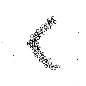 O=S(=O)([O-])[O-].O=S(=O)([O-])[O-].O=S(=O)([O-])[O-].O=S(=O)([O-])[O-].O=S(=O)([O-])[O-].O=S(=O)([O-])[O-].[Ce+4].[Ce+4].[NH4+].[NH4+].[NH4+].[NH4+].[NH4+].[NH4+].[O]=[Mo](=[O])([O-])[O-]